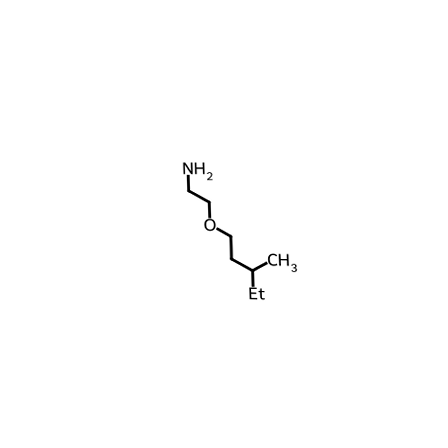 CCC(C)CCOCCN